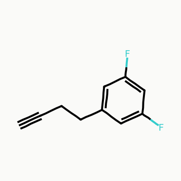 C#CCCc1cc(F)cc(F)c1